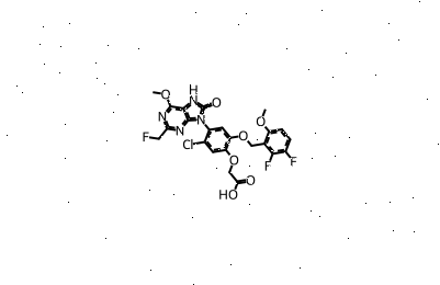 COc1ccc(F)c(F)c1COc1cc(-n2c(=O)[nH]c3c(OC)nc(CF)nc32)c(Cl)cc1OCC(=O)O